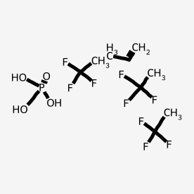 C=CC.CC(F)(F)F.CC(F)(F)F.CC(F)(F)F.O=P(O)(O)O